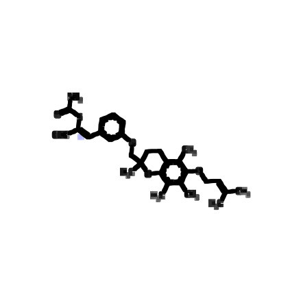 CC(C)=CCOc1c(C)c(C)c2c(c1C)CCC(C)(COc1cccc(/C=C(/C=O)SC(N)=O)c1)O2